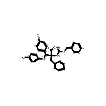 COC(=O)C(Cc1ccccc1)(NC(=O)OCc1ccccc1)C(Nc1ccc(Cl)cc1)c1ccc(Br)cc1